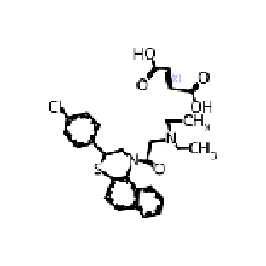 CCN(CC)CC(=O)N1CC(c2ccc(Cl)cc2)Sc2ccc3ccccc3c21.O=C(O)/C=C/C(=O)O